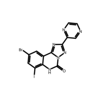 O=c1[nH]c2c(I)cc(Br)cc2c2nc(-c3cnccn3)nn12